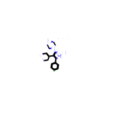 CCOC(=O)C1CN(c2[nH]nc(-c3ccc(Cl)cc3)c2C2=CC=NCC2)CCN1C